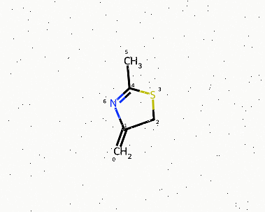 C=C1CSC(C)=N1